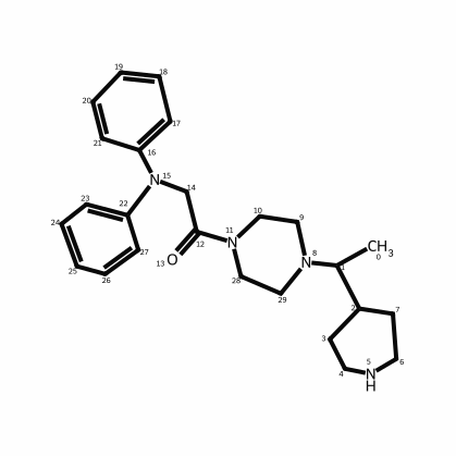 CC(C1CCNCC1)N1CCN(C(=O)CN(c2ccccc2)c2ccccc2)CC1